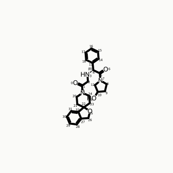 O=C(CN[C@@H](C(=O)N1CCC(O)C1)c1ccccc1)N1CCC2(CC1)OCc1ccccc12